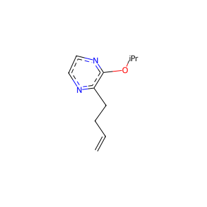 C=CCCc1nccnc1OC(C)C